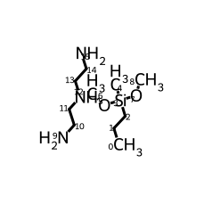 CCC[Si](C)(OC)OC.NCCNCCN